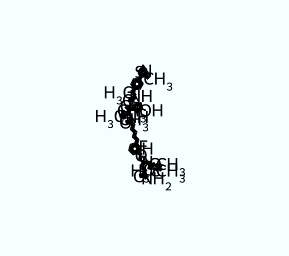 Cc1ncsc1-c1ccc([C@H](C)NC(=O)[C@@H]2C[C@@H](O)CN2C(=O)[C@@H](NC(=O)CCCCCc2cccc(OC[C@H](CCC(N)=O)NC(=O)OC(C)(C)C)c2F)C(C)(C)C)cc1